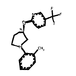 Cc1ccccc1N1CC[C@@H](Oc2ccc(C(F)(F)F)cn2)C1